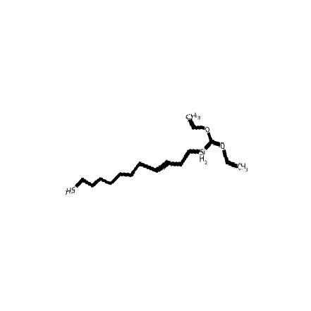 CCOC(OCC)[SiH2]CCCCCCCCCCCS